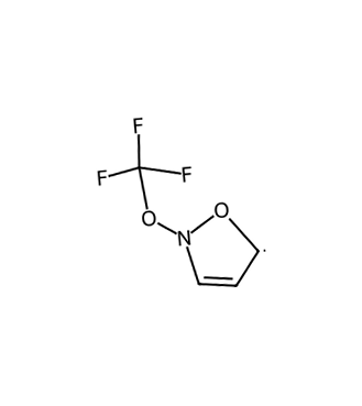 FC(F)(F)ON1C=C[CH]O1